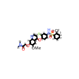 COc1cc2c(Oc3ccc(NS(=O)(=O)c4ccccc4C(F)(F)F)cc3F)ccnc2cc1OCC(=O)N(C)C